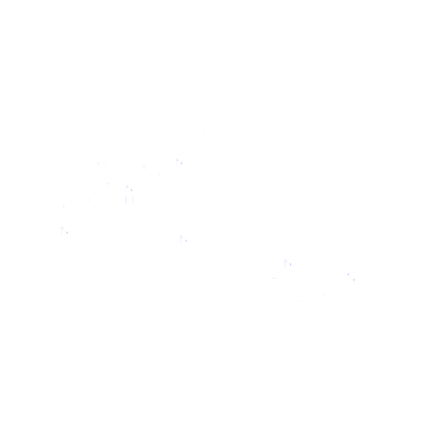 C=C(/N=C\C(Cl)=C/N)c1ccc(CN2CCC(c3nc(C(F)(F)F)cc(F)c3NC(=O)c3ccnc(Cl)c3)CC2)cc1